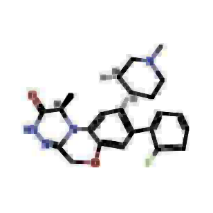 C[C@@H]1CN(C)CC[C@@H]1c1cc2c(cc1-c1ccccc1F)OCC1=NNC(=O)[C@@H](C)N12